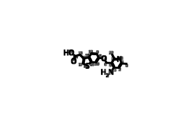 Cc1cc(N)c(COc2ccc3c(CC(=O)O)csc3c2)c(C)n1